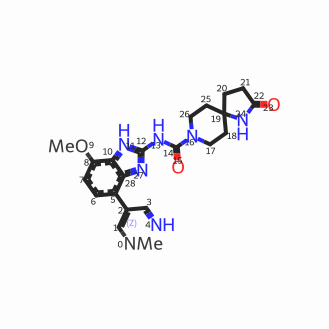 CN/C=C(\C=N)c1ccc(OC)c2[nH]c(NC(=O)N3CCC4(CCC(=O)N4)CC3)nc12